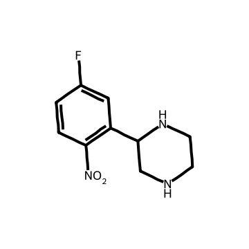 O=[N+]([O-])c1ccc(F)cc1C1CNCCN1